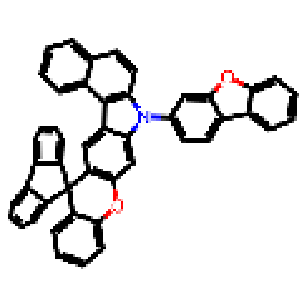 c1ccc2c(c1)Oc1cc3c(cc1C21c2ccccc2-c2ccccc21)c1c2ccccc2ccc1n3-c1ccc2c(c1)oc1ccccc12